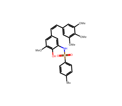 COc1cc(/C=C\c2cc(OC)c(OC)c(OC)c2)cc(NS(=O)(=O)c2ccc(C(C)(C)C)cc2)c1O